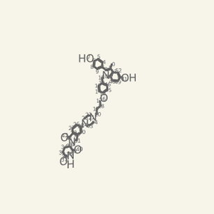 Cc1c(-c2ccc(O)cc2)n(Cc2ccc(OCCCCN3CCN(c4ccc5c(c4)CN(C4CCC(=O)NC4=O)C5=O)CC3)cc2)c2ccc(O)cc12